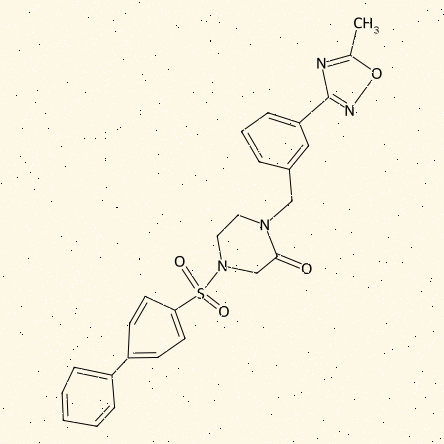 Cc1nc(-c2cccc(CN3CCN(S(=O)(=O)c4ccc(-c5ccccc5)cc4)CC3=O)c2)no1